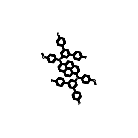 COc1ccc(N(c2cc(-c3ccc(F)cc3)cc(-c3ccc(F)cc3)c2)c2ccc3ccc4c(N(c5ccc(OC)cc5)c5cc(-c6ccc(F)cc6)cc(-c6ccc(F)cc6)c5)ccc5ccc2c3c54)cc1